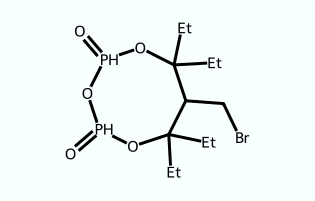 CCC1(CC)O[PH](=O)O[PH](=O)OC(CC)(CC)C1CBr